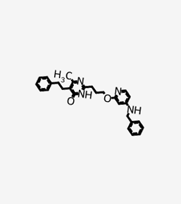 Cc1nc(CCCOc2cc(NCc3ccccc3)ccn2)[nH]c(=O)c1CCc1ccccc1